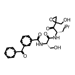 CC(C)C[C@H](NC(=O)[C@H](CO)NC(=O)c1cccc(C(=O)c2ccccc2)c1)C(=O)C1(CO)CO1